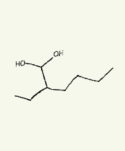 CCCCC(CC)C(O)O